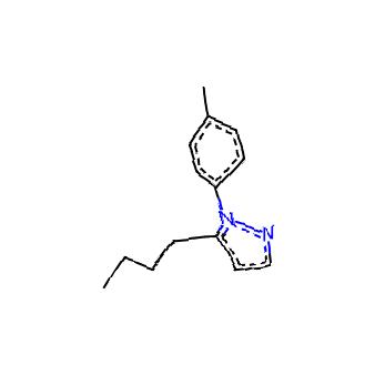 CCCCc1ccnn1-c1ccc(C)cc1